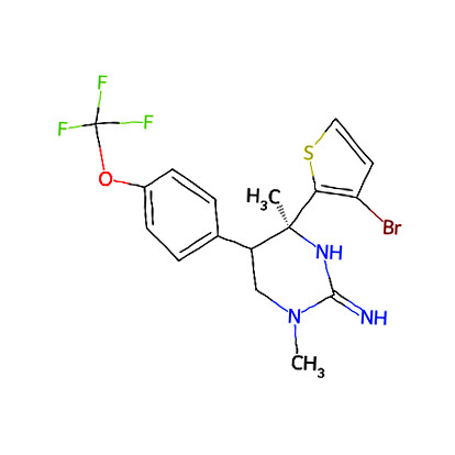 CN1CC(c2ccc(OC(F)(F)F)cc2)[C@@](C)(c2sccc2Br)NC1=N